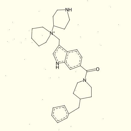 O=C(c1ccc2c(C[N+]3(C4CCNCC4)CCCCC3)c[nH]c2c1)N1CCC(Cc2ccccc2)CC1